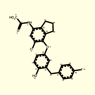 O=C(O)C(=O)Nc1cc(Cl)c(Oc2ccc(O)c(Cc3ccc(F)cc3)c2)c2c1CCC2